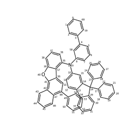 c1ccc(-c2cccc(N(c3ccc4c(c3)C(c3ccccc3)(c3ccccc3)c3ccccc3-4)c3cccc4oc5c6ccccc6c(-c6ccccc6)cc5c34)c2)cc1